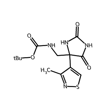 Cc1nscc1C1(CNC(=O)OC(C)(C)C)NC(=O)NC1=O